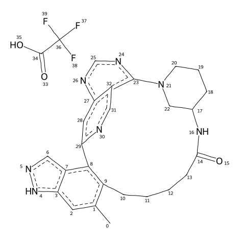 Cc1cc2[nH]ncc2c2c1CCCCC(=O)NC1CCCN(C1)c1ncnc3cc-2ncc13.O=C(O)C(F)(F)F